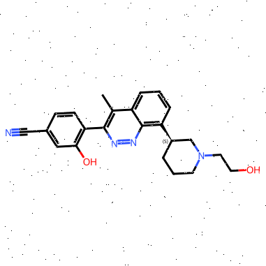 Cc1c(-c2ccc(C#N)cc2O)nnc2c([C@@H]3CCCN(CCO)C3)cccc12